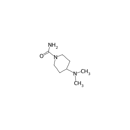 CN(C)C1CCN(C(N)=O)CC1